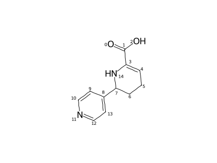 O=C(O)C1=CCCC(c2ccncc2)N1